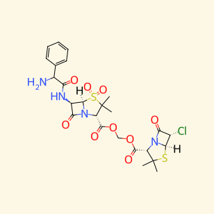 CC1(C)S[C@@H]2[C@@H](Cl)C(=O)N2[C@H]1C(=O)OCOC(=O)[C@@H]1N2C(=O)[C@@H](NC(=O)C(N)c3ccccc3)[C@H]2S(=O)(=O)C1(C)C